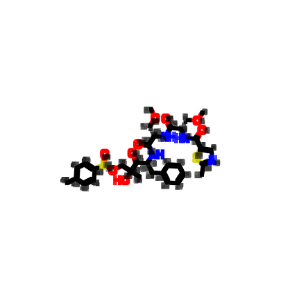 COC[C@H](NC(=O)c1cnc(C)s1)C(=O)N[C@@H](COC)C(=O)N[C@@H](Cc1ccccc1)C(=O)[C@](C)(O)COS(=O)c1ccc(C)cc1